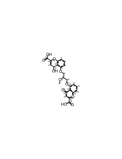 COC(COc1cccc2c1C(O)C=C(C(=O)O)O2)COc1cccc2oc(C(=O)O)cc(=O)c12